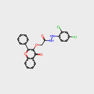 O=C(COc1c(-c2ccccc2)oc2ccccc2c1=O)NNc1ccc(Cl)cc1Cl